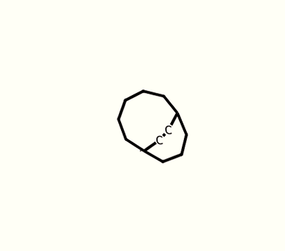 C1CC[C]2CCCC(CC1)CC2